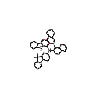 CC1(C)c2ccccc2-c2ccc(N(c3ccc4ccccc4c3-c3ccc4ccccc4c3)c3cccc4c3sc3ccccc34)cc21